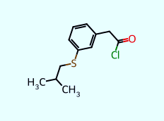 CC(C)CSc1cccc(CC(=O)Cl)c1